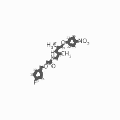 CC(CNC(=O)COCc1ccc(F)cc1)CC(C)COc1ccc([N+](=O)[O-])cc1